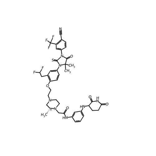 C[C@@H]1CN(CCOc2ccc(N3C(=S)N(c4ccc(C#N)c(C(F)(F)F)c4)C(=O)C3(C)C)cc2CC(F)F)CCN1CC(=O)Nc1cccc(NC2CCC(=O)NC2=O)c1